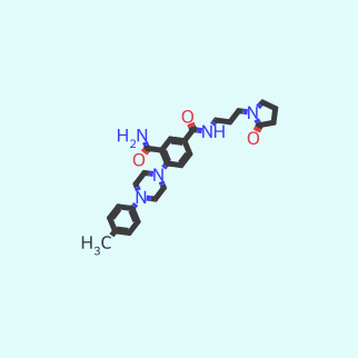 Cc1ccc(N2CCN(c3ccc(C(=O)NCCCN4CCCC4=O)cc3C(N)=O)CC2)cc1